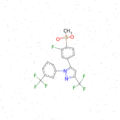 CS(=O)(=O)c1ccc(-c2cc(C(F)(F)F)nn2-c2cccc(C(F)(F)F)c2)cc1F